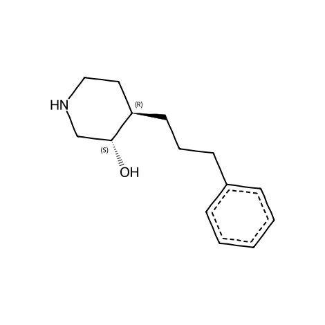 O[C@@H]1CNCC[C@H]1CCCc1ccccc1